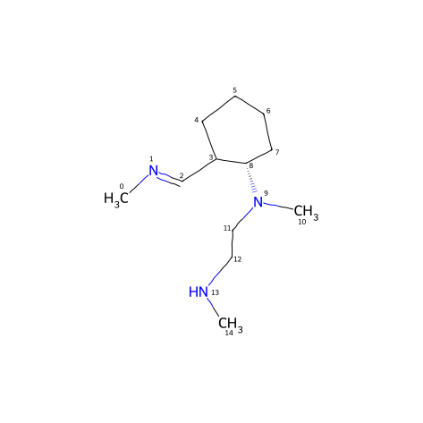 C/N=C/C1CCCC[C@@H]1N(C)CCNC